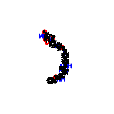 O=C1CC[C@H](N2C(=O)c3ccc(N4CCC(OCCN5CCN(c6ccc(Nc7ncnc8c7ncn8C7CC(NC(=O)Cc8ccccc8)C7)cc6)CC5)CC4)cc3C2=O)C(=O)N1